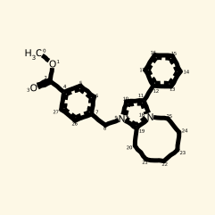 COC(=O)c1ccc(C[n+]2cc(-c3ccccc3)n3c2CCCCCC3)cc1